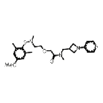 COc1cc(C)c(SN(C)CCOCC(=O)N(C)CC2CN(c3ccncc3)C2)c(C)c1